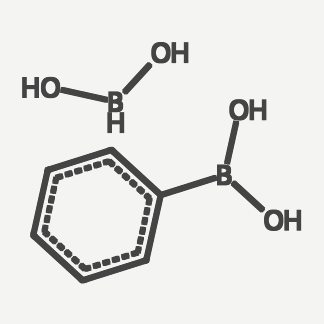 OB(O)c1ccccc1.OBO